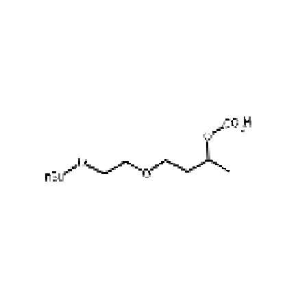 CCCCOCCOCCC(C)OC(=O)O